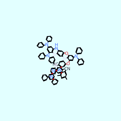 [C-]#[N+]c1ccc2c(c1)B1c3cc4c(cc3Nc3cc(N(c5ccccc5)c5ccccc5)cc(c31)N2c1ccccc1)Oc1cc(N(c2ccccc2)c2ccccc2)cc2c1B4c1cc3c(cc1O2)N(c1c(C)cc(C)cc1C)c1cc(N(c2ccccc2)c2ccccc2)cc2c1B3c1cc(C#N)ccc1N2c1ccccc1